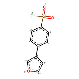 O=S(=O)(Cl)c1ccc(-c2ccoc2)cc1